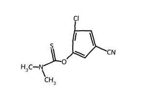 CN(C)C(=S)Oc1cc(Cl)cc(C#N)c1